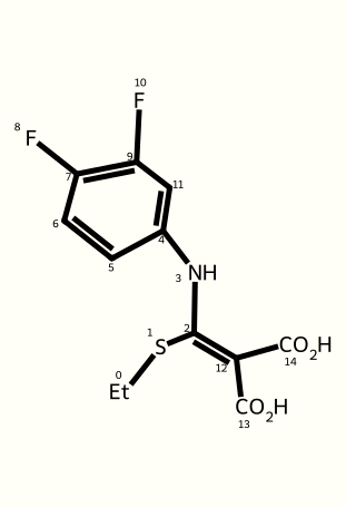 CCSC(Nc1ccc(F)c(F)c1)=C(C(=O)O)C(=O)O